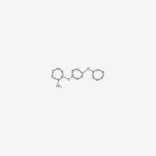 Cc1ccccc1Sc1ccc(Oc2ccccc2)cc1